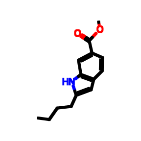 CCCCc1cc2ccc(C(=O)OC)cc2[nH]1